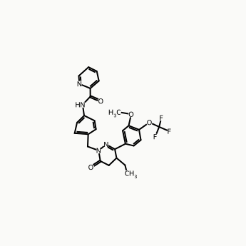 CCC1CC(=O)N(Cc2ccc(NC(=O)c3ccccn3)cc2)N=C1c1ccc(OC(F)(F)F)c(OC)c1